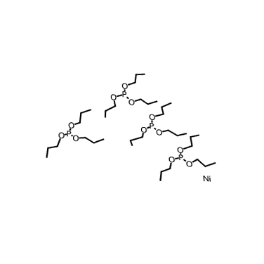 CCCOP(OCCC)OCCC.CCCOP(OCCC)OCCC.CCCOP(OCCC)OCCC.CCCOP(OCCC)OCCC.[Ni]